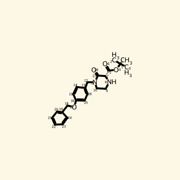 CC(C)(C)OC(=O)[C@@H]1NCCN(Cc2ccc(OCc3ccccc3)cc2)C1=O